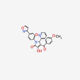 COc1ccc(C(=O)C2=C(O)C(=O)N(c3ccc(-c4ccon4)cc3)C2c2cccc[n+]2[O-])cc1